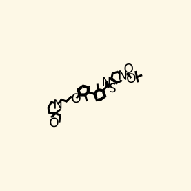 Cc1c(OCCCN2CCCC3(CCOC3)C2)cccc1-c1cccc(-c2nc3c(s2)CN(C(=O)OC(C)(C)C)CC3)c1C